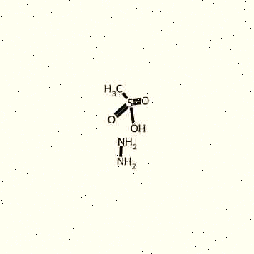 CS(=O)(=O)O.NN